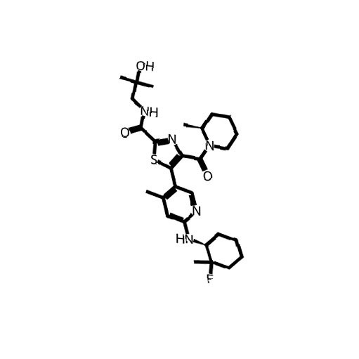 Cc1cc(N[C@H]2CCCCC2(C)F)ncc1-c1sc(C(=O)NCC(C)(C)O)nc1C(=O)N1CCCC[C@@H]1C